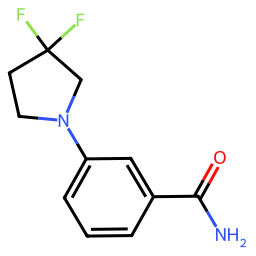 NC(=O)c1cccc(N2CCC(F)(F)C2)c1